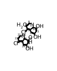 O.Oc1cc(O)c2nccc(Cl)c2c1.Oc1cc(O)c2nccc(Cl)c2c1